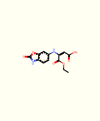 CCOC(=O)C(=CC(=O)O)Nc1ccc2[nH]c(=O)oc2c1